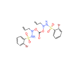 C=CCN(NS(=O)(=O)c1ccccc1Br)OC(=O)ON(CC=C)NS(=O)(=O)c1ccccc1Br